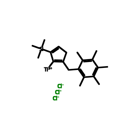 Cc1c(C)c(C)c(CC2=[C]([Ti+3])C([Si](C)(C)C)=CC2)c(C)c1C.[Cl-].[Cl-].[Cl-]